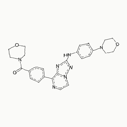 O=C(c1ccc(-c2nccn3nc(Nc4ccc(N5CCOCC5)cc4)nc23)cc1)N1CCOCC1